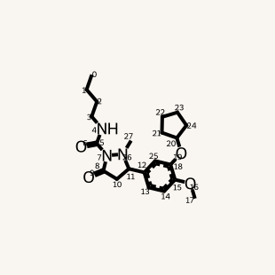 CCCCNC(=O)N1C(=O)CC(c2ccc(OC)c(OC3CCCC3)c2)N1C